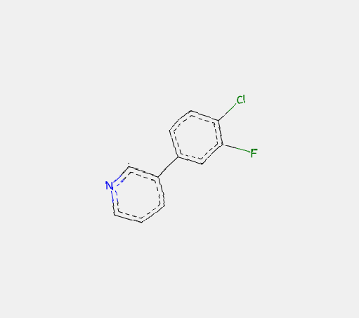 Fc1cc(-c2[c]nccc2)ccc1Cl